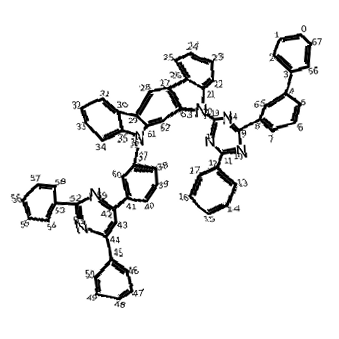 c1ccc(-c2cccc(-c3nc(-c4ccccc4)nc(-n4c5ccccc5c5cc6c7ccccc7n(-c7cccc(-c8cc(-c9ccccc9)nc(-c9ccccc9)n8)c7)c6cc54)n3)c2)cc1